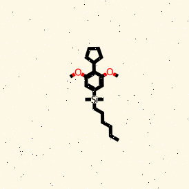 CCCCCC[Si](C)(C)c1cc(OC)c(C2CCCC2)c(OC)c1